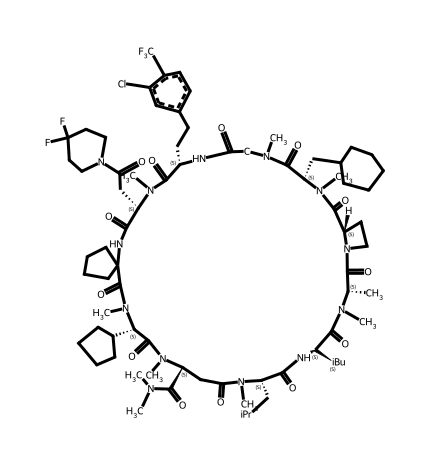 CC[C@H](C)[C@@H]1NC(=O)[C@H](CC(C)C)N(C)C(=O)C[C@@H](C(=O)N(C)C)N(C)C(=O)[C@H](C2CCCC2)N(C)C(=O)C2(CCCC2)NC(=O)[C@H](CC(=O)N2CCC(F)(F)CC2)N(C)C(=O)[C@H](CCc2ccc(C(F)(F)F)c(Cl)c2)NC(=O)CN(C)C(=O)[C@H](CC2CCCCC2)N(C)C(=O)[C@@H]2CCN2C(=O)[C@H](C)N(C)C1=O